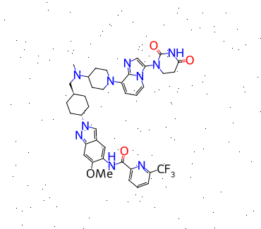 COc1cc2nn([C@H]3CC[C@H](CN(C)C4CCN(c5cccn6c(N7CCC(=O)NC7=O)cnc56)CC4)CC3)cc2cc1NC(=O)c1cccc(C(F)(F)F)n1